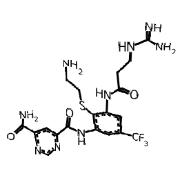 N=C(N)NCCC(=O)Nc1cc(C(F)(F)F)cc(NC(=O)c2cc(C(N)=O)ncn2)c1SCCN